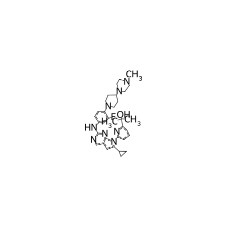 CN1CCN(C2CCN(c3ccc(Nc4ncc5cc(C6CC6)n(-c6cccc(C(C)(C)O)n6)c5n4)cc3F)CC2)CC1